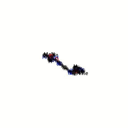 CC[C@H](NC)C(=O)N[C@@H]1C(=O)N2[C@@H](CC[C@@H]1CNC(=O)CCc1cn(CCCCC3CCC(CCCCn4cc([C@@H](NC(=O)[C@@H]5CC[C@@H]6CC[C@H](CNCc7ccccc7)[C@H](NC(=O)[C@H](CC)NC)C(=O)N65)c5ccccc5)nn4)CC3)nn1)CC[C@H]2C(=O)NCc1ccccc1